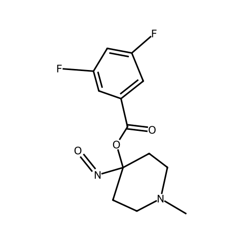 CN1CCC(N=O)(OC(=O)c2cc(F)cc(F)c2)CC1